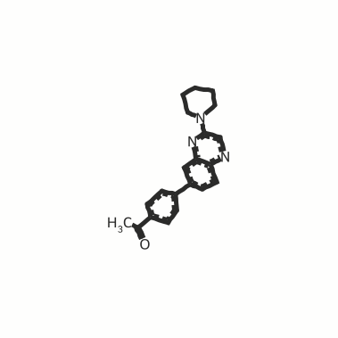 CC(=O)c1ccc(-c2ccc3ncc(N4CCCCC4)nc3c2)cc1